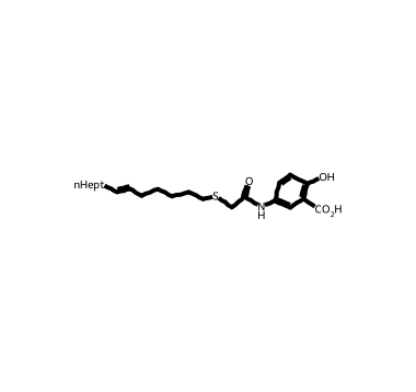 CCCCCCCC=CCCCCCSCC(=O)Nc1ccc(O)c(C(=O)O)c1